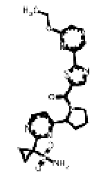 CCOc1cncc(-c2ncc(C(=O)N3CCCC3c3ccnc(C4(S(N)(=O)=O)CC4)n3)s2)n1